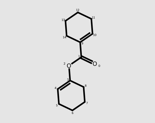 O=C(OC1=CCCCC1)C1=CCCCC1